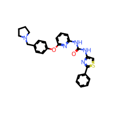 O=C(Nc1cccc(Oc2ccc(CN3CCCC3)cc2)n1)Nc1csc(-c2ccccc2)n1